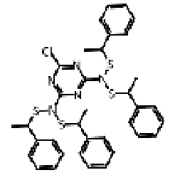 CC(SN(SC(C)c1ccccc1)c1nc(Cl)nc(N(SC(C)c2ccccc2)SC(C)c2ccccc2)n1)c1ccccc1